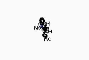 CC(=O)N1CCC(CNc2ncc(C)c(/C(C#N)=C3\Nc4ccccc4O3)n2)CC1